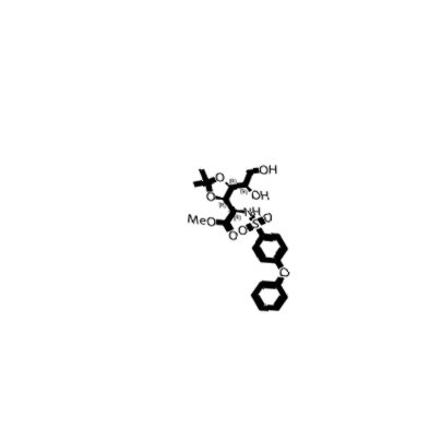 COC(=O)[C@H](NS(=O)(=O)c1ccc(Oc2ccccc2)cc1)[C@H]1OC(C)(C)O[C@@H]1[C@H](O)CO